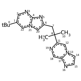 CC(C)(C)c1cnc2nc(CC(C)(C)c3cn4ccnc4cn3)cn2c1